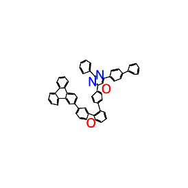 c1ccc(-c2ccc(-c3nc(-c4ccccc4)nc4c3oc3cc(-c5cccc6oc7ccc(-c8ccc9c%10ccccc%10c%10ccccc%10c9c8)cc7c56)ccc34)cc2)cc1